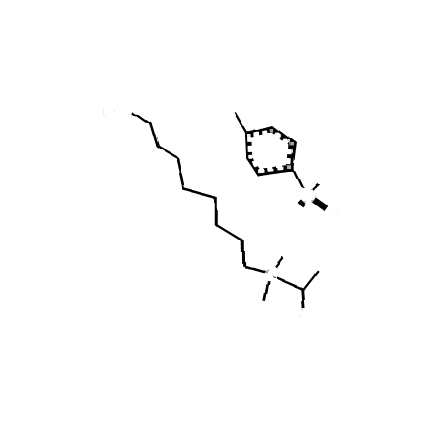 CCCCCCCCCCCCCCCCCC[N+](C)(C)C(C)O.Cc1ccc(S(=O)(=O)[O-])cc1